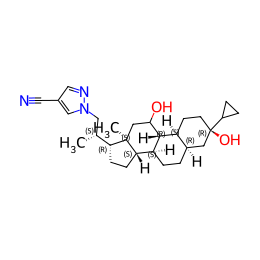 C[C@H](Cn1cc(C#N)cn1)[C@H]1CC[C@H]2[C@@H]3CC[C@@H]4C[C@@](O)(C5CC5)CC[C@@H]4[C@H]3C(O)C[C@]12C